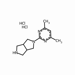 Cc1cc(C)nc(N2CC3CNCC3C2)n1.Cl.Cl